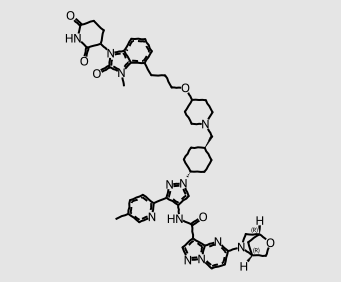 Cc1ccc(-c2nn([C@H]3CC[C@H](CN4CCC(OCCCc5cccc6c5n(C)c(=O)n6C5CCC(=O)NC5=O)CC4)CC3)cc2NC(=O)c2cnn3ccc(N4C[C@H]5C[C@@H]4CO5)nc23)nc1